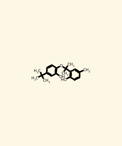 Cc1ccc(O)c(C(C)(C)Oc2ccc(C(C)(C)C)cc2O)c1